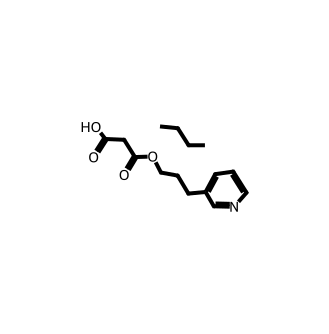 CCCC.O=C(O)CC(=O)OCCCc1cccnc1